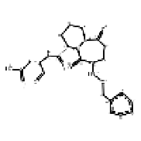 O=C[C@H](CC(=O)O)NC(=O)[C@@H]1CCCN2C(=O)CCN(NOCc3ccccc3)C(=O)N12